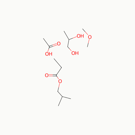 CC(=O)O.CC(O)CO.CCC(=O)OCC(C)C.COC